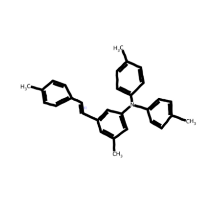 Cc1ccc(/C=C/c2cc(C)cc(N(c3ccc(C)cc3)c3ccc(C)cc3)c2)cc1